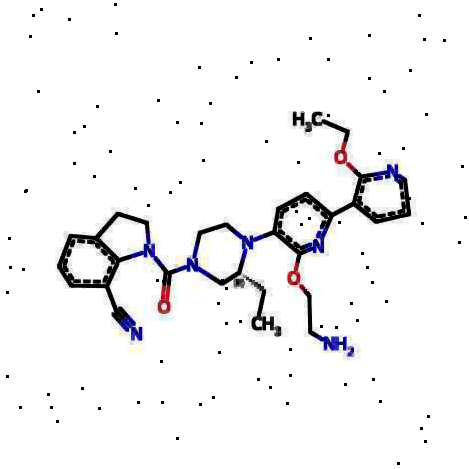 CCOc1ncccc1-c1ccc(N2CCN(C(=O)N3CCc4cccc(C#N)c43)C[C@H]2CC)c(OCCN)n1